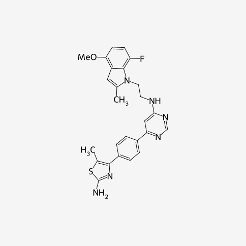 COc1ccc(F)c2c1cc(C)n2CCNc1cc(-c2ccc(-c3nc(N)sc3C)cc2)ncn1